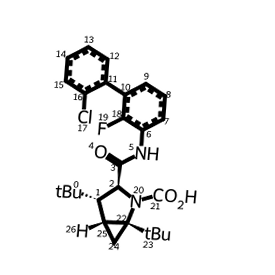 CC(C)(C)[C@@H]1[C@@H](C(=O)Nc2cccc(-c3ccccc3Cl)c2F)N(C(=O)O)[C@]2(C(C)(C)C)C[C@H]12